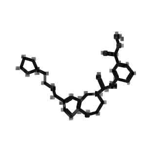 COC(=O)c1cccc(NC(=O)N2CCOc3ccc(COCCN4CCCC4)cc3C2)c1